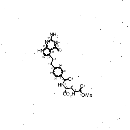 COC(=O)CC[C@H](NC(=O)c1ccc(CCc2c[nH]c3nc(N)[nH]c(=O)c23)cc1)C(=O)O